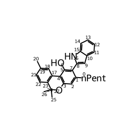 CCCCCc1cc2c(c(O)c1-c1cc3ccccc3[nH]1)-c1cc(C)ccc1C(C)(C)O2